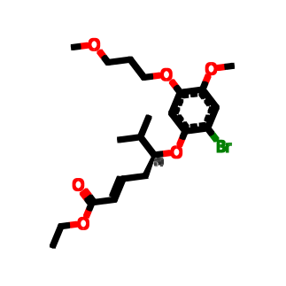 CCOC(=O)C=CC[C@H](Oc1cc(OCCCOC)c(OC)cc1Br)C(C)C